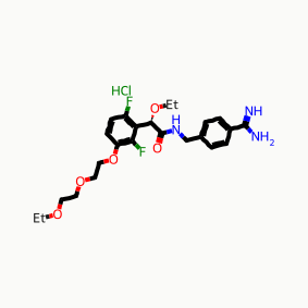 CCOCCOCCOc1ccc(F)c([C@H](OCC)C(=O)NCc2ccc(C(=N)N)cc2)c1F.Cl